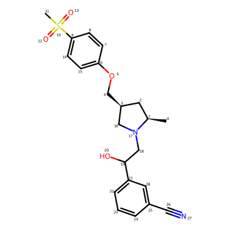 C[C@@H]1C[C@H](COc2ccc(S(C)(=O)=O)cc2)CN1CC(O)c1cccc(C#N)c1